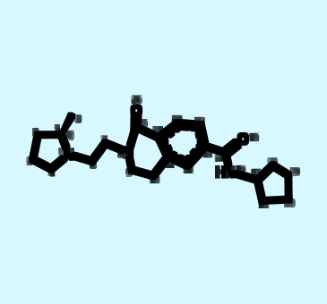 C[C@@H]1CCCN1CCN1CCc2cc(C(=O)NC3CCCC3)ccc2C1=O